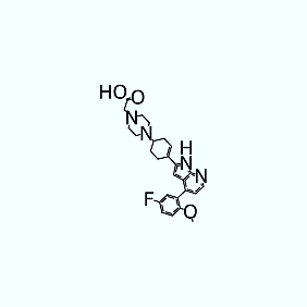 COc1ccc(F)cc1-c1ccnc2[nH]c(C3=CCC(N4CCN(CC(=O)O)CC4)CC3)cc12